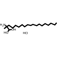 CCCCCCCCCCCCCCCCCC(C)(N)C(O)O.Cl